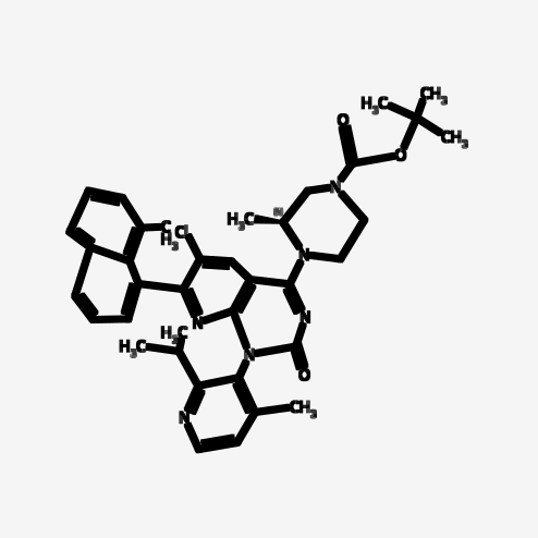 Cc1ccnc(C(C)C)c1-n1c(=O)nc(N2CCN(C(=O)OC(C)(C)C)C[C@@H]2C)c2cc(Cl)c(-c3cccc4cccc(C)c34)nc21